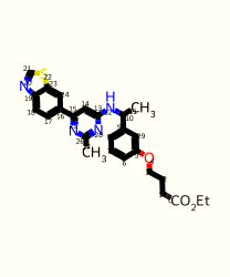 CCOC(=O)CCCOc1cccc(C(C)Nc2cc(-c3ccc4ncsc4c3)nc(C)n2)c1